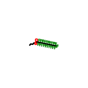 CCCCOC(=O)C(F)(F)C(F)(F)C(F)(F)C(F)(F)C(F)(F)C(F)(F)C(F)(F)C(F)(F)C(F)(F)C(F)(F)F